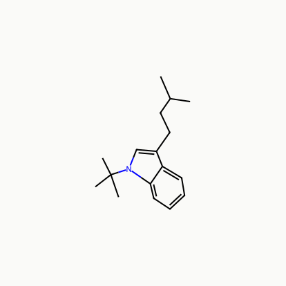 CC(C)CCc1cn(C(C)(C)C)c2ccccc12